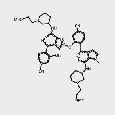 CNCCN1CCC[C@@H](Nc2nnc(-c3ccc(C#N)cc3O[n+]3cc4c(-c5ccc(C#N)cc5O)nnc(N[C@@H]5CCCN(CCOC)C5)c4s3)c3ccn(C)c23)C1